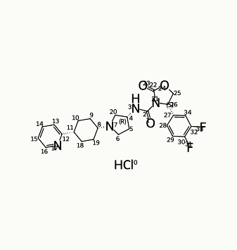 Cl.O=C(N[C@@H]1CCN([C@H]2CC[C@@H](c3ccccn3)CC2)C1)N1C(=O)OC[C@@H]1c1ccc(F)c(F)c1